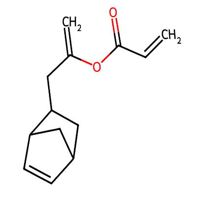 C=CC(=O)OC(=C)CC1CC2C=CC1C2